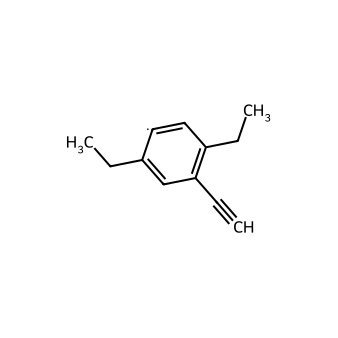 C#Cc1cc(CC)[c]cc1CC